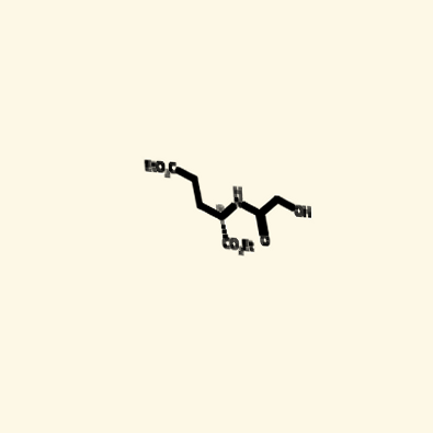 CCOC(=O)CC[C@H](NC(=O)CO)C(=O)OCC